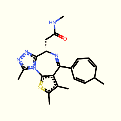 CNC(=O)C[C@@H]1N=C(C2=CC=CC(C)C=C2)c2c(sc(C)c2C)-n2c(C)nnc21